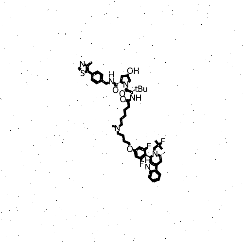 Cc1ncsc1-c1ccc(CNC(=O)[C@@H]2C[C@@H](O)CN2C(=O)[C@@H](NC(=O)CCCCCN(C)CCCCOc2cc(F)c([C@@H]3c4[nH]c5ccccc5c4C[C@@H](C)N3CC(C)(C)F)c(F)c2)C(C)(C)C)cc1